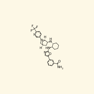 NC(=O)c1cccc(-c2cnc(N[C@@H]3CCCC[C@H]3N[C@H]3C[C@@H]4C[C@H]3N(c3ccc(C(F)(F)F)nc3)C4)o2)c1